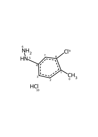 Cc1ccc(NN)cc1Cl.Cl